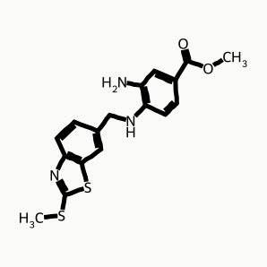 COC(=O)c1ccc(NCc2ccc3nc(SC)sc3c2)c(N)c1